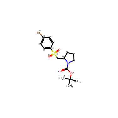 CC(C)(C)OC(=O)N1CCCC1CS(=O)(=O)c1ccc(Br)cc1